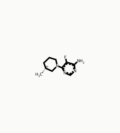 C[C@@H]1CCCN(c2ncnc(N)c2F)C1